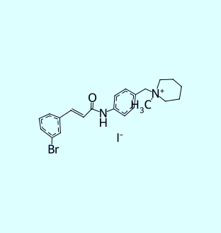 C[N+]1(Cc2ccc(NC(=O)C=Cc3cccc(Br)c3)cc2)CCCCC1.[I-]